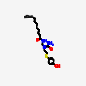 CCCCCCCCCCCCCCCCCC(=O)NCN(CCSc1ccc(O)cc1)C(N)=O